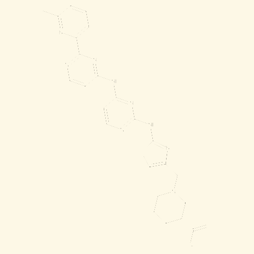 Cc1cccc(-c2nccc(Nc3ccnc(Nc4nc(CN5CCC[C@@H](C(=O)O)C5)cs4)n3)n2)n1